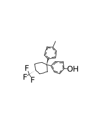 Cc1ccc([C@]2(c3ccc(O)cc3)CC[C@@H](C(F)(F)F)CC2)cc1